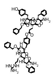 N=C(N)NCCC[C@H](NC(=O)[C@H](Cc1ccc(OC(=O)CC[C@H](NC(=O)[C@H](Cc2ccc(O)cc2)NC(=O)OCc2ccccc2)C(=O)N[C@@H](Cc2ccccc2)C(N)=O)cc1)NC(=O)OCc1ccccc1)C(=O)N[C@@H](Cc1ccccc1)C(N)=O